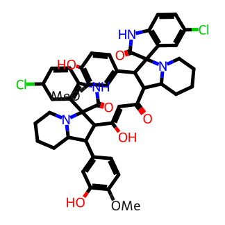 COc1ccc(C2C3CCCCN3C3(C(=O)NC4=C3CC(Cl)C=C4)C2/C(O)=C/C(=O)C2C3CCCCN3C3(C(=O)Nc4ccc(Cl)cc43)C2c2ccc(O)c(OC)c2)cc1O